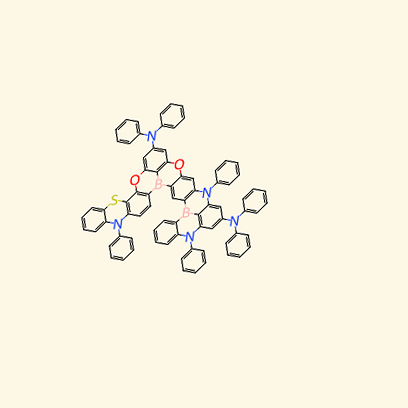 c1ccc(N(c2ccccc2)c2cc3c4c(c2)Oc2c(ccc5c2Sc2ccccc2N5c2ccccc2)B4c2cc4c(cc2O3)N(c2ccccc2)c2cc(N(c3ccccc3)c3ccccc3)cc3c2B4c2ccccc2N3c2ccccc2)cc1